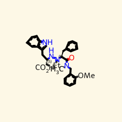 CCN(N[C@H](CC(=O)O)Cc1c[nH]c2ccccc12)[C@@H](Cc1ccccc1)C(=O)N(C)Cc1ccccc1OC